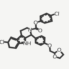 O=C(Oc1ccc(Cl)cc1)N1CCc2c([nH]c3c2=CC(Cl)CC=3)C1c1ccc(OCC2OCCO2)cc1